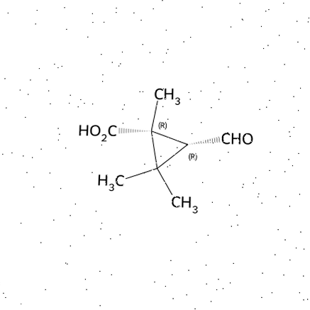 CC1(C)[C@@H](C=O)[C@@]1(C)C(=O)O